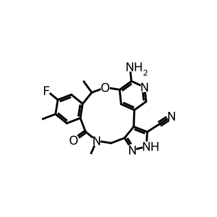 Cc1cc2c(cc1F)C(C)Oc1cc(cnc1N)-c1c(n[nH]c1C#N)CN(C)C2=O